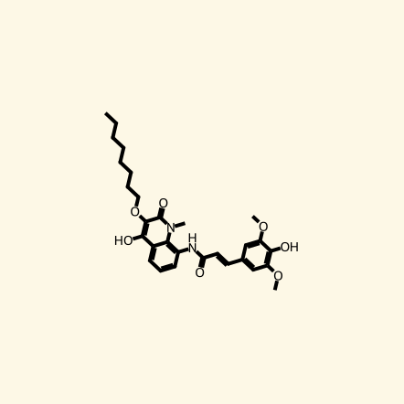 CCCCCCCCOc1c(O)c2cccc(NC(=O)C=Cc3cc(OC)c(O)c(OC)c3)c2n(C)c1=O